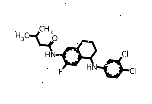 CC(C)CC(=O)Nc1cc2c(cc1F)C(Nc1ccc(Cl)c(Cl)c1)CCC2